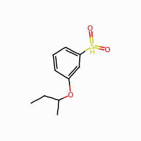 CCC(C)Oc1cccc([SH](=O)=O)c1